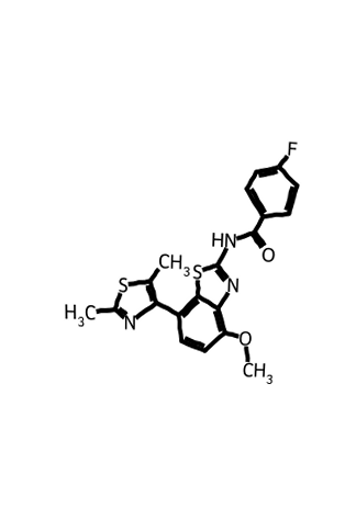 COc1ccc(-c2nc(C)sc2C)c2sc(NC(=O)c3ccc(F)cc3)nc12